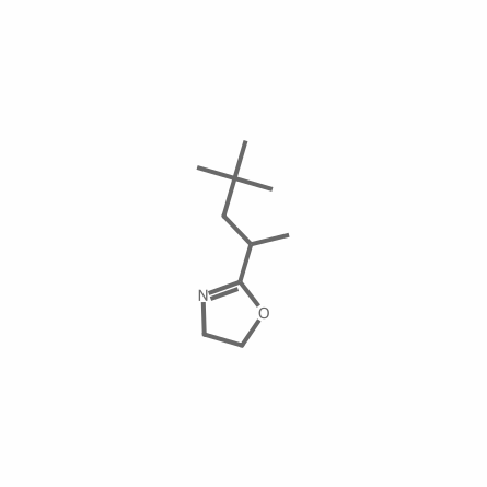 CC(CC(C)(C)C)C1=NCCO1